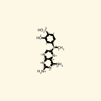 CN(c1ccc(C(=O)O)c(O)c1)c1cnc2nc(N)nc(N)c2n1